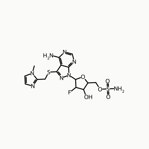 Cn1ccnc1CSc1nn(C2OC(COS(N)(=O)=O)C(O)C2F)c2ncnc(N)c12